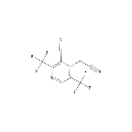 N#CCc1c(C(F)(F)F)cnc(C(F)(F)F)c1C#N